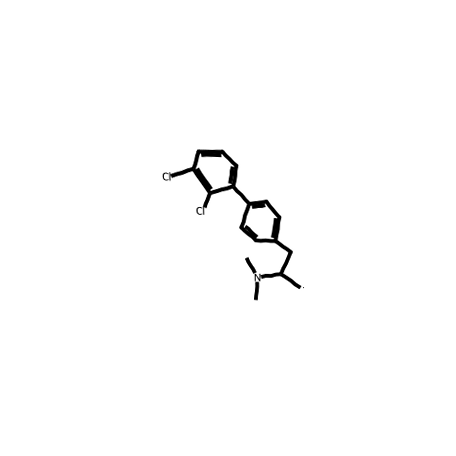 [CH2]C(Cc1ccc(-c2cccc(Cl)c2Cl)cc1)N(C)C